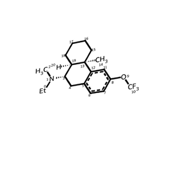 CCN(C)[C@H]1Cc2ccc(OC(F)(F)F)cc2[C@]2(C)CCCC[C@H]12